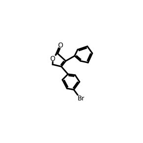 O=C1OCC(c2ccc(Br)cc2)=C1c1ccccc1